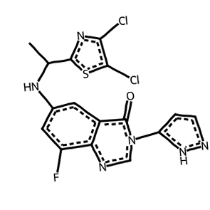 CC(Nc1cc(F)c2ncn(-c3ccn[nH]3)c(=O)c2c1)c1nc(Cl)c(Cl)s1